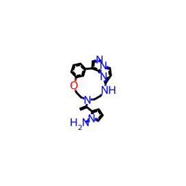 C=C(c1cccn1N)N1CCNc2ccn3ncc(c3n2)-c2cccc(c2)OCC1